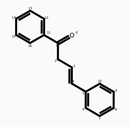 O=C([CH]C=Cc1ccccc1)c1ccccc1